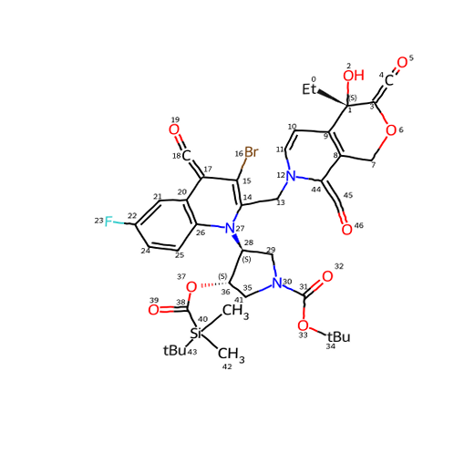 CC[C@@]1(O)C(=C=O)OCC2=C1C=CN(CC1=C(Br)C(=C=O)c3cc(F)ccc3N1[C@H]1CN(C(=O)OC(C)(C)C)C[C@@H]1OC(=O)[Si](C)(C)C(C)(C)C)C2=C=O